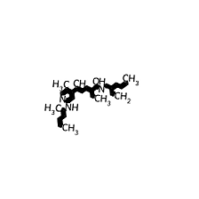 C=C/C(=C\C=C/C)CNC(=O)/C(=C/C=C(\C)c1cc(N/C(C)=C/C=C\C)ncc1C)CC